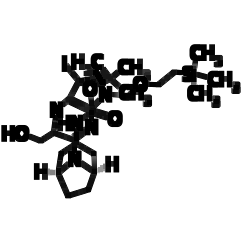 CC(C)(C)OC(=O)NC1C[C@H]2CC[C@@H](C1)N2c1nc2c(nc1CO)c(I)nn2COCC[Si](C)(C)C